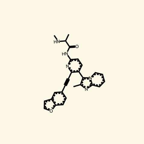 CNC(C)C(=O)Nc1ccc(-c2c(C)nc3ccccn23)c(C#Cc2ccc3occc3c2)n1